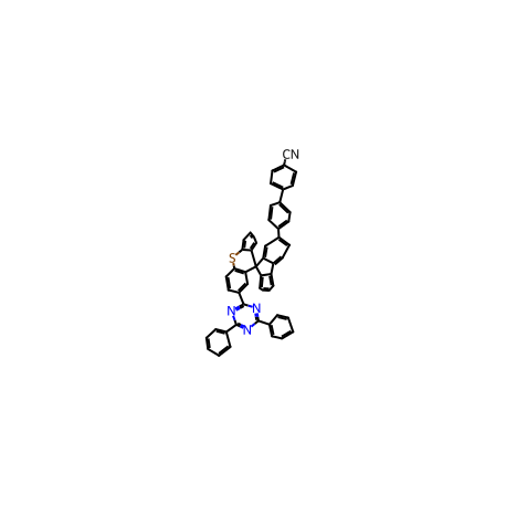 N#Cc1ccc(-c2ccc(-c3ccc4c(c3)C3(c5ccccc5Sc5ccc(-c6nc(-c7ccccc7)nc(-c7ccccc7)n6)cc53)c3ccccc3-4)cc2)cc1